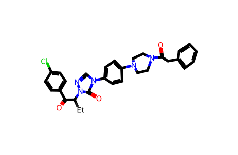 CCC(C(=O)c1ccc(Cl)cc1)n1ncn(-c2ccc(N3CCN(C(=O)Cc4ccccc4)CC3)cc2)c1=O